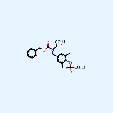 CCOC(=O)C(C)(C)Oc1c(C)cc(CN(CC(=O)O)C(=O)OCc2ccccc2)cc1C